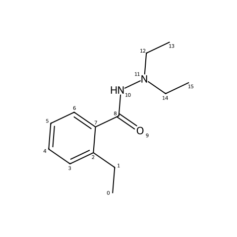 CCc1ccccc1C(=O)NN(CC)CC